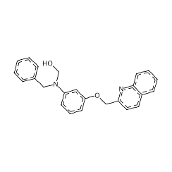 OCN(Cc1ccccc1)c1cccc(OCc2ccc3ccccc3n2)c1